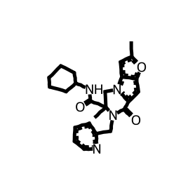 Cc1cc2c(cc3n2CC(C)(C(=O)NC2CCCCC2)N(Cc2ccccn2)C3=O)o1